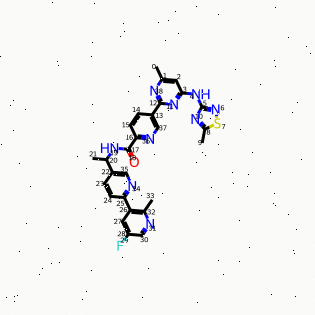 Cc1cc(Nc2nsc(C)n2)nc(-c2ccc(C(=O)NC(C)c3ccc(-c4cc(F)cnc4C)nc3)nc2)n1